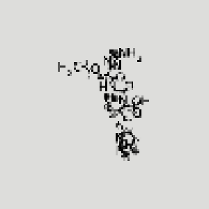 C=CCON=C(C(=O)NC1C(=O)N2C(C(=O)O)=C(CSc3ccc4nnnn4n3)CS[C@@H]12)c1nsc(N)n1